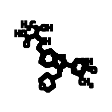 Cc1cc(-c2nc3cc(CNC(C(=O)O)C(C)O)ccc3n2CC2CCOCC2)c[nH]c1=O